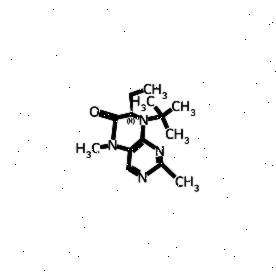 CC[C@@H]1C(=O)N(C)c2cnc(C)nc2N1C(C)(C)C